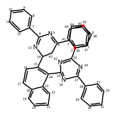 c1ccc(C2=NC(c3ccccc3)=NC(c3ccc4ccccc4c3-c3nc(-c4ccccc4)nc(-c4ccccc4)n3)C2)cc1